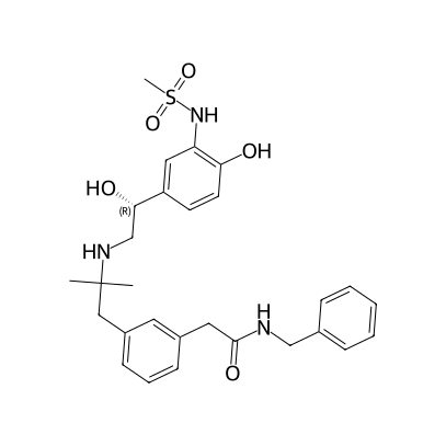 CC(C)(Cc1cccc(CC(=O)NCc2ccccc2)c1)NC[C@H](O)c1ccc(O)c(NS(C)(=O)=O)c1